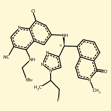 CC(CF)n1cc([C@@H](Nc2cc(Cl)c3ncc(C#N)c(NCC(C)(C)C)c3c2)c2cccc3c(=O)n(C)ccc23)nn1